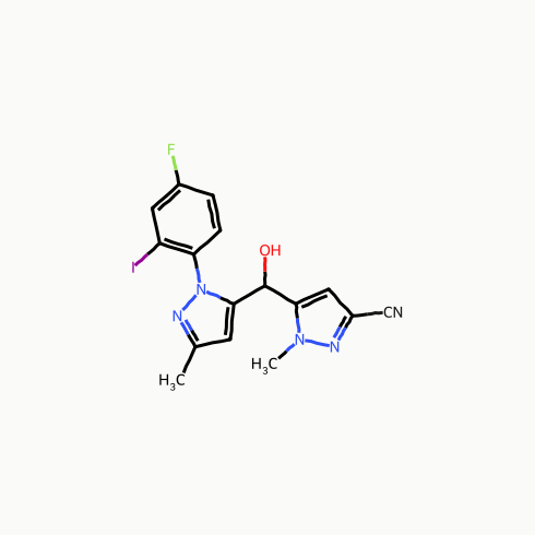 Cc1cc(C(O)c2cc(C#N)nn2C)n(-c2ccc(F)cc2I)n1